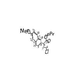 CCCOC(=O)C(CCCl)c1ccc2cc(OC)ccc2c1